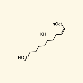 CCCCCCCC/C=C\CCCCCCCC(=O)O.[KH]